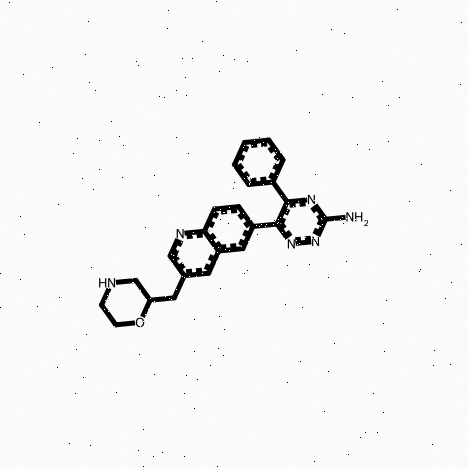 Nc1nnc(-c2ccc3ncc(CC4CNCCO4)cc3c2)c(-c2ccccc2)n1